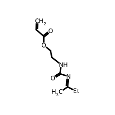 C=CC(=O)OCCNC(=O)/N=C(\C)CC